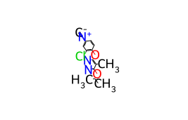 [C-]#[N+]c1ccc(Oc2ncnc(OC(C)C)c2C)c(Cl)c1